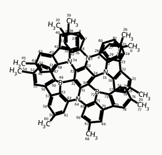 Cc1ccc(N(c2ccc(C)cc2)c2c(-n3c4ccc(C)cc4c4cc(C)ccc43)c3c4c(c2-n2c5ccc(C)cc5c5cc(C)ccc52)B2c5ccc(C)cc5-c5cc(C)cc(c52)N4c2cc(C)cc4c2B3c2ccc(C)cc2-4)cc1